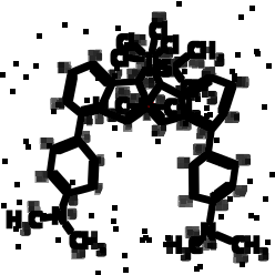 CC1=Cc2c(-c3ccc(N(C)C)cc3)cccc2[CH]1[Ti]([Cl])([Cl])([Cl])([Cl])([CH]1C(C)=Cc2c(-c3ccc(N(C)C)cc3)cccc21)[SiH](C)C